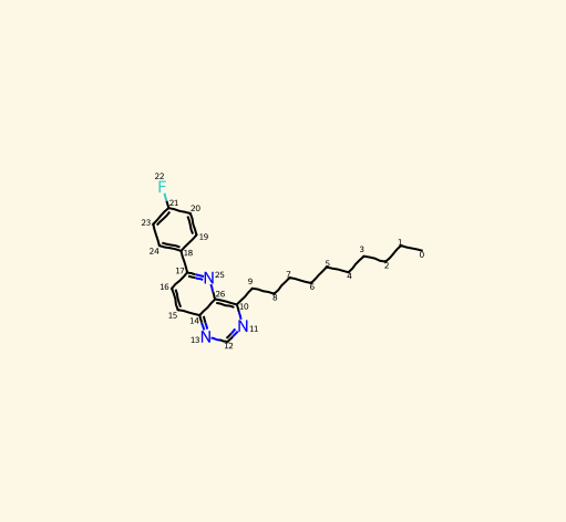 CCCCCCCCCCc1ncnc2ccc(-c3ccc(F)cc3)nc12